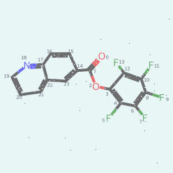 O=C(Oc1c(F)c(F)c(F)c(F)c1F)c1ccc2ncccc2c1